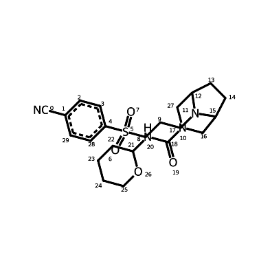 N#Cc1ccc(S(=O)(=O)CCCN2C3CCC2CN(C(=O)NC2CCCCO2)C3)cc1